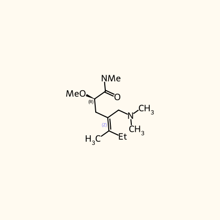 CC/C(C)=C(/C[C@@H](OC)C(=O)NC)CN(C)C